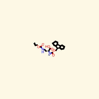 C=CCOC(=O)NCC[C@@H](C(=O)O)N(C)C(=O)OCC1c2ccccc2-c2ccccc21